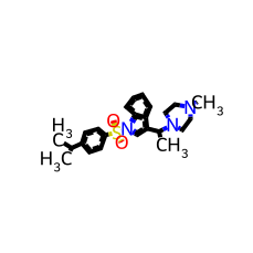 CC(C)c1ccc(S(=O)(=O)n2cc(C(C)N3CCN(C)CC3)c3ccccc32)cc1